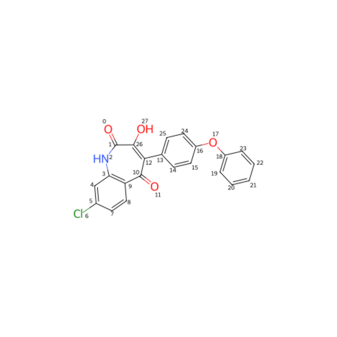 O=c1[nH]c2cc(Cl)ccc2c(=O)c(-c2ccc(Oc3ccccc3)cc2)c1O